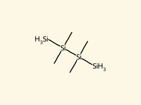 C[Si](C)([SiH3])[Si](C)(C)[SiH3]